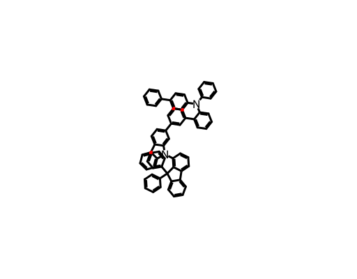 c1ccc(-c2ccc(N(c3ccccc3)c3ccccc3-c3cccc(-c4ccc5c6ccccc6n(-c6cccc7c6C(c6ccccc6)(c6ccccc6)c6ccccc6-7)c5c4)c3)cc2)cc1